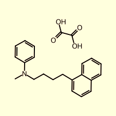 CN(CCCCc1cccc2ccccc12)c1ccccc1.O=C(O)C(=O)O